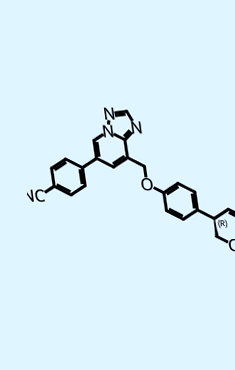 C=C[C@@H](CC(=O)O)c1ccc(OCc2cc(-c3ccc(C#N)cc3)cn3ncnc23)cc1